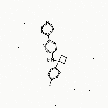 Fc1ccc(C2(Nc3ccc(-c4ccncc4)nn3)CCC2)cc1